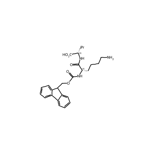 CC(C)[C@H](NC(=O)[C@H](CCCCN)NC(=O)OCC1c2ccccc2-c2ccccc21)C(=O)O